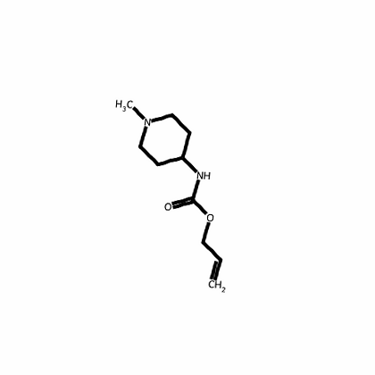 C=CCOC(=O)NC1CCN(C)CC1